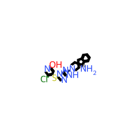 N[C@@H]1c2ccccc2CC12CCN(c1nc3nc(Sc4cc(O)ncc4Cl)cnc3[nH]1)CC2